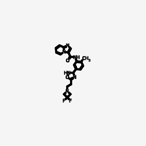 Cc1ccc(C2N=C(CCN3CC(F)(F)C3)ON2)cc1NC(=O)c1cnc2ccccn12